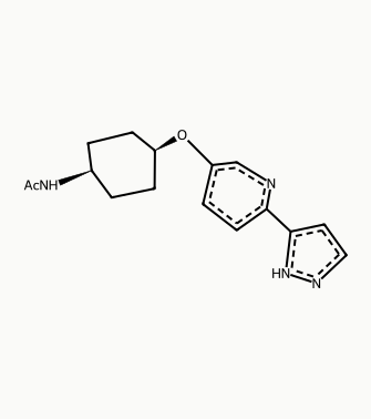 CC(=O)N[C@H]1CC[C@@H](Oc2ccc(-c3ccn[nH]3)nc2)CC1